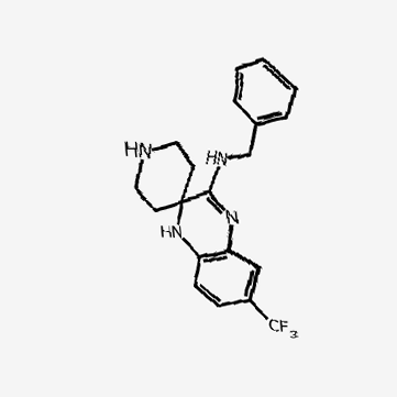 FC(F)(F)c1ccc2c(c1)N=C(NCc1ccccc1)C1(CCNCC1)N2